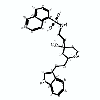 O=S(=O)(NCCC1(O)CCNC(CCc2coc3ccccc23)C1)c1cccc2cnccc12